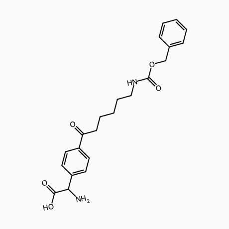 NC(C(=O)O)c1ccc(C(=O)CCCCCNC(=O)OCc2ccccc2)cc1